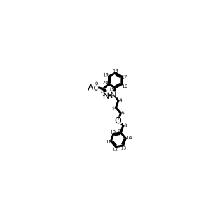 CC(=O)c1nn(CCCOCc2ccccc2)c2ccccc12